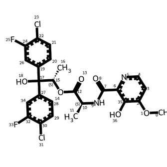 COc1ccnc(C(=O)N[C@@H](C)C(=O)O[C@@H](C)C(O)(c2ccc(Cl)c(F)c2)c2ccc(Cl)c(F)c2)c1O